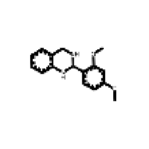 COc1ccc(C2NCc3ccccc3N2)c(OC)c1